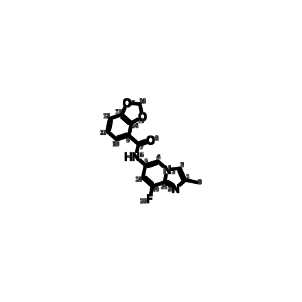 Cc1cn2cc(NC(=O)c3cccc4c3OCO4)cc(F)c2n1